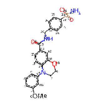 COc1cccc(N2CCOc3cc(C(=O)NCc4ccc(S(N)(=O)=O)cc4)ccc32)c1